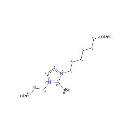 CCCCCCCCCCCCCCCC[n+]1ccn(CCCCCCCCCCCC)c1CCCC